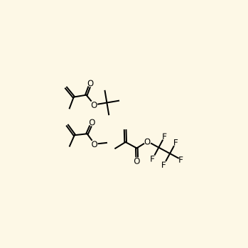 C=C(C)C(=O)OC.C=C(C)C(=O)OC(C)(C)C.C=C(C)C(=O)OC(F)(F)C(F)(F)F